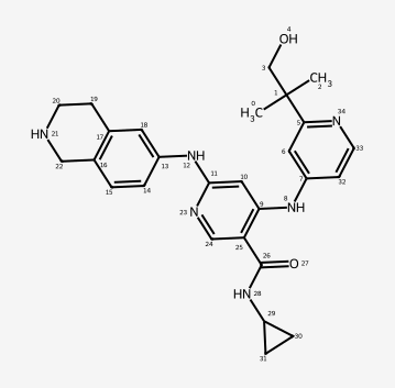 CC(C)(CO)c1cc(Nc2cc(Nc3ccc4c(c3)CCNC4)ncc2C(=O)NC2CC2)ccn1